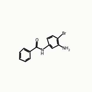 Nc1cc(NC(=O)c2ccccc2)ccc1Br